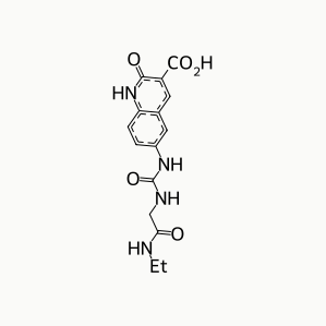 CCNC(=O)CNC(=O)Nc1ccc2[nH]c(=O)c(C(=O)O)cc2c1